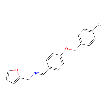 CCc1ccc(COc2ccc(C=NCc3ccco3)cc2)cc1